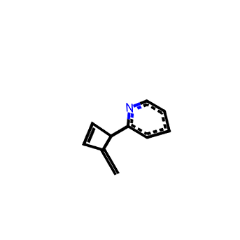 C=C1C=CC1c1ccccn1